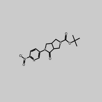 CC(C)(C)OC(=O)N1CC2CN(c3ccc([N+](=O)[O-])nc3)C(=O)C2C1